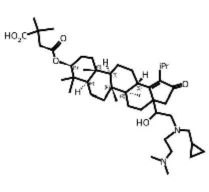 CC(C)C1=C2[C@H]3CC[C@@H]4[C@@]5(C)CC[C@H](OC(=O)CC(C)(C)C(=O)O)C(C)(C)[C@@H]5CC[C@@]4(C)[C@]3(C)CCC2(C(O)CN(CCN(C)C)CC2CC2)CC1=O